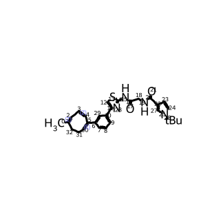 C/C1=C/C=C\C(c2cccc(-c3csc(NC(=O)CNC(=O)c4ccn(C(C)(C)C)c4)n3)c2)=C/CC1